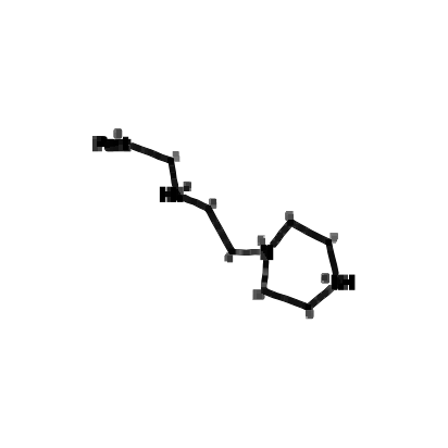 CCCC(C)CNCCN1CCNCC1